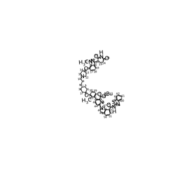 Cc1c(O[C@H]2CC[C@H](CCCN3CCC(Oc4cccc5c(C6CCC(=O)NC6=O)nn(C)c45)CC3)CC2)cccc1-c1ccc(N2CCc3cccc(C(=O)Nc4nc5ccccc5s4)c3C2)nc1C(=O)OC(C)(C)C